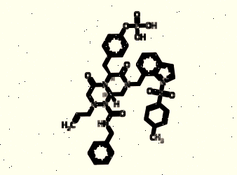 C=CCN1CC(=O)N2[C@@H](Cc3ccc(OP(=O)(O)O)cc3)C(=O)N(Cc3cccc4ccn(S(=O)(=O)C5=CCC(C)C=C5)c34)C[C@@H]2N1C(=O)NCc1ccccc1